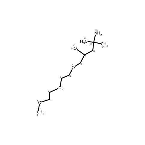 COCCOCCOCC(O)CC(C)(C)N